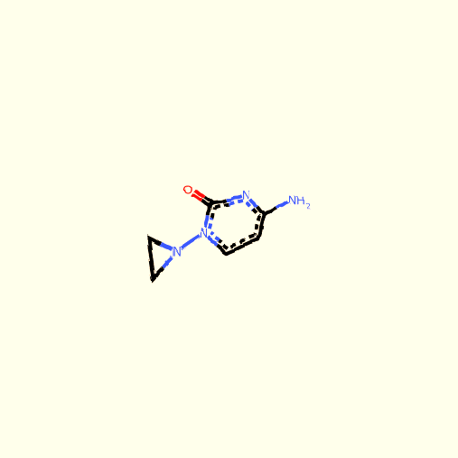 Nc1ccn(N2CC2)c(=O)n1